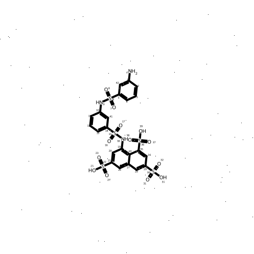 Nc1cccc(S(=O)(=O)Nc2cccc(S(=O)(=O)Nc3cc(S(=O)(=O)O)cc4cc(S(=O)(=O)O)cc(S(=O)(=O)O)c34)c2)c1